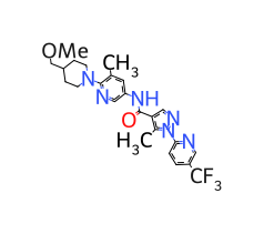 COCC1CCN(c2ncc(NC(=O)c3cnn(-c4ccc(C(F)(F)F)cn4)c3C)cc2C)CC1